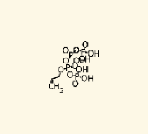 C=CCOP(=O)(OP(=O)(O)O)OP(=O)(O)OP(=O)(O)O